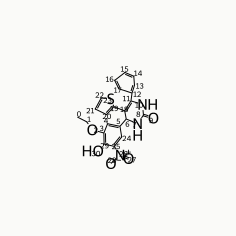 CCOc1cc(C2NC(=O)NC(c3ccccc3)=C2c2cccs2)cc([N+](=O)[O-])c1O